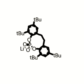 CC(C)(C)c1cc2c(c(C(C)(C)C)c1)OP(=O)([O-])Oc1c(cc(C(C)(C)C)cc1C(C)(C)C)CC2.[Li+]